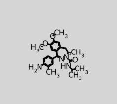 COc1cc2c(cc1OC)C(c1ccc(N)c(C)c1)=NN(C(=O)NC(C)C)[C@H](C)C2